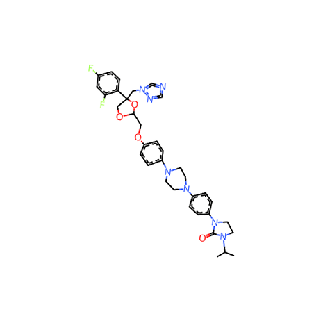 CC(C)N1CCN(c2ccc(N3CCN(c4ccc(OCC5OCC(Cn6cncn6)(c6ccc(F)cc6F)O5)cc4)CC3)cc2)C1=O